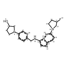 OC1CCN(c2ccc(CNc3cnc4ccc(N5CCC(F)C5)nn34)nc2)C1